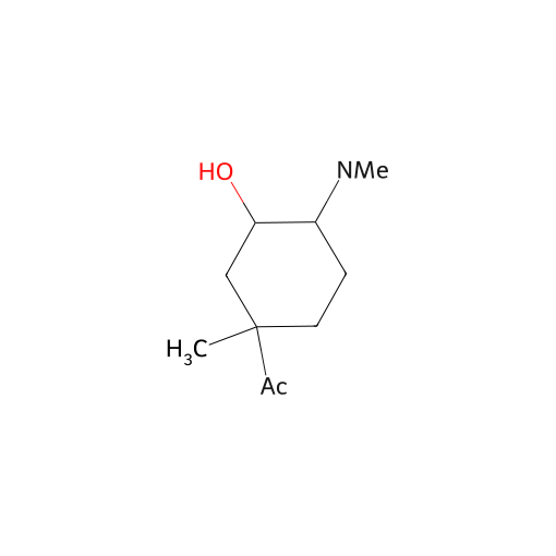 CNC1CCC(C)(C(C)=O)CC1O